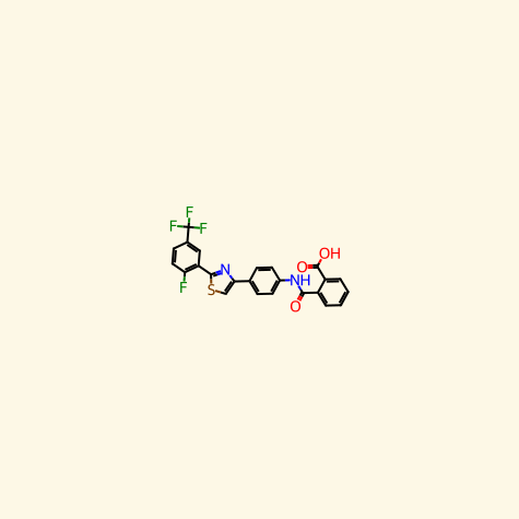 O=C(O)c1ccccc1C(=O)Nc1ccc(-c2csc(-c3cc(C(F)(F)F)ccc3F)n2)cc1